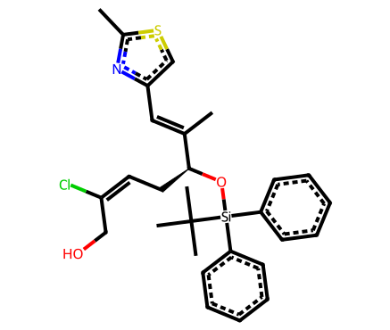 C/C(=C\c1csc(C)n1)[C@H](C/C=C(/Cl)CO)O[Si](c1ccccc1)(c1ccccc1)C(C)(C)C